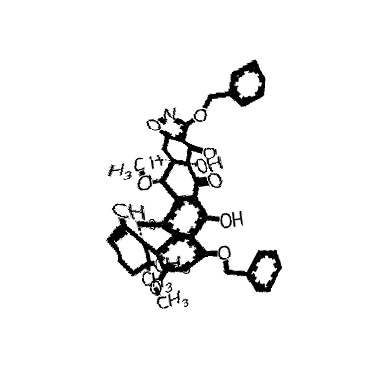 COc1cc(OCc2ccccc2)c2c(O)c3c(c4c2c1[C@]1(C4)C(C)=CCCC1(C)C)[C@@H](OC)[C@H]1Cc2onc(OCc4ccccc4)c2C(=O)[C@@]1(O)C3=O